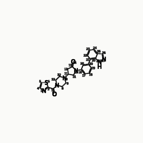 O=C(c1nccs1)N1CCN(C2CC(=O)N(c3cccc(-c4cccc5cn[nH]c45)c3)C2)CC1